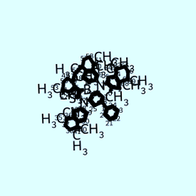 Cc1cc2c(cc1N1c3cc4c5cc3B3c6c1cc(-c1ccccc1)cc6N(c1ccc6c(c1)C(C)(C)CCC6(C)C)c1sc6c(c13)C(C)(CCC6(C)C)CC5(C)CCC4(C)C)C(C)(C)CCC2(C)C